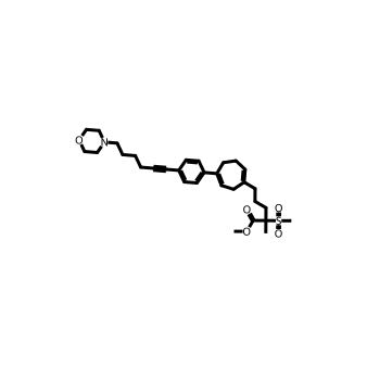 COC(=O)C(C)(CCCC1=CCCC(c2ccc(C#CCCCCN3CCOCC3)cc2)=CC1)S(C)(=O)=O